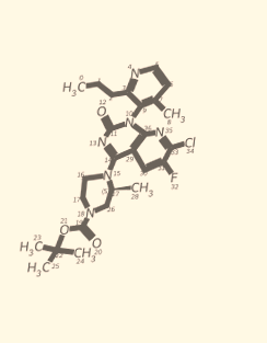 CCCc1nccc(C)c1-n1c(=O)nc(N2CCN(C(=O)OC(C)(C)C)C[C@@H]2C)c2cc(F)c(Cl)nc21